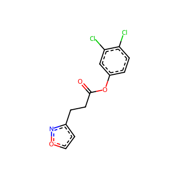 O=C(CCc1ccon1)Oc1ccc(Cl)c(Cl)c1